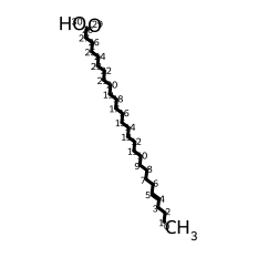 CCCCC=CCCCCCCCCCCCCCCCCCCCCCCC(=O)O